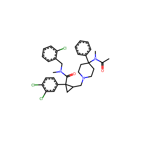 CC(=O)N(C)C1(c2ccccc2)CCN(CC2CC2(C(=O)N(C)Cc2ccccc2Cl)c2ccc(Cl)c(Cl)c2)CC1